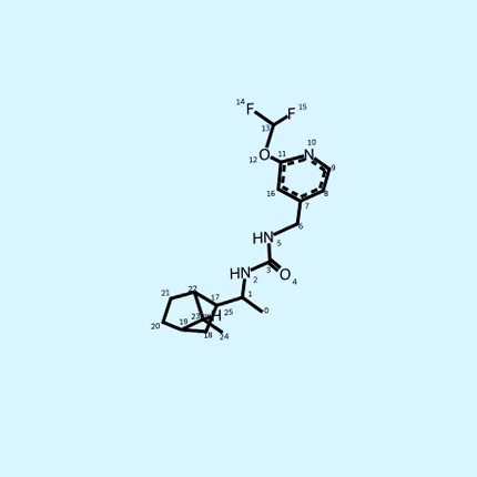 CC(NC(=O)NCc1ccnc(OC(F)F)c1)C1CC2CCC1[C@@H]2C